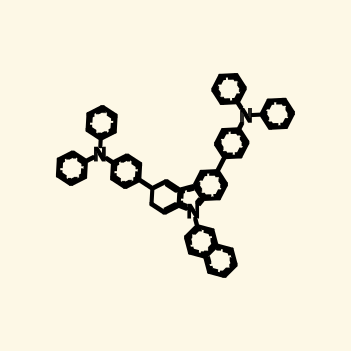 C1=c2c(n(-c3ccc4ccccc4c3)c3ccc(-c4ccc(N(c5ccccc5)c5ccccc5)cc4)cc23)=CCC1c1ccc(N(c2ccccc2)c2ccccc2)cc1